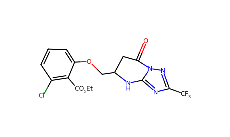 CCOC(=O)c1c(Cl)cccc1OCC1CC(=O)n2nc(C(F)(F)F)nc2N1